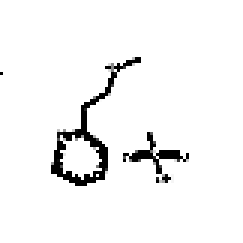 CNCCc1ccccn1.CS(=O)(=O)O